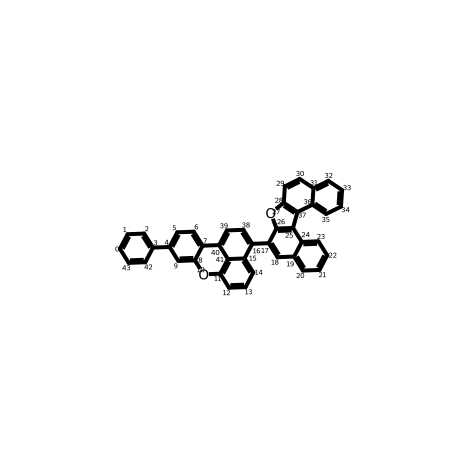 c1ccc(-c2ccc3c(c2)Oc2cccc4c(-c5cc6ccccc6c6c5oc5ccc7ccccc7c56)ccc-3c24)cc1